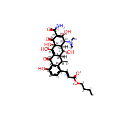 CCCCOC(=O)/C=C/c1ccc(O)c2c1[C@H](C)[C@@H]1C(=C(O)[C@]3(O)C(=O)C(C(N)=O)=C(O)[C@@H](N(C)C)[C@H]3[C@@H]1O)C2=O